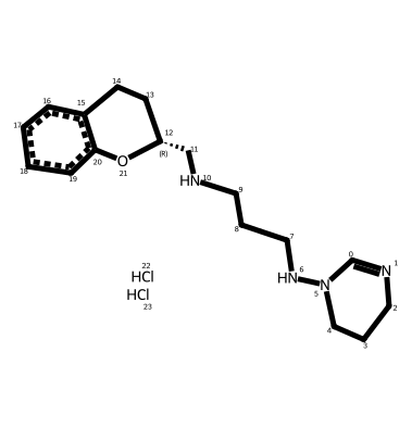 C1=NCCCN1NCCCNC[C@H]1CCc2ccccc2O1.Cl.Cl